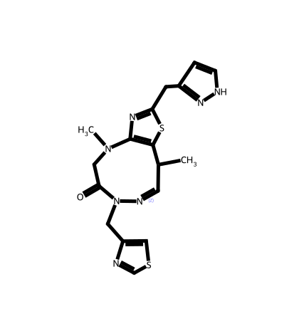 CC1/C=N\N(Cc2cscn2)C(=O)CN(C)c2nc(Cc3cc[nH]n3)sc21